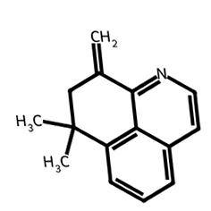 C=C1CC(C)(C)c2cccc3ccnc1c23